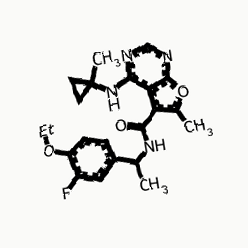 CCOc1ccc(C(C)NC(=O)c2c(C)oc3ncnc(NC4(C)CC4)c23)cc1F